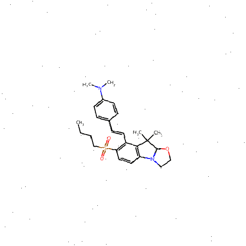 CCCCS(=O)(=O)c1ccc2c(c1C=Cc1ccc(N(C)C)cc1)C(C)(C)C1OCCN21